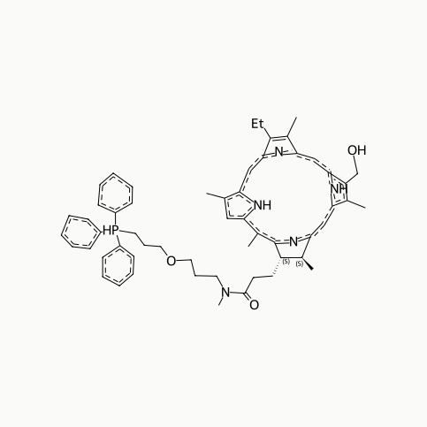 CCC1=C(C)c2cc3[nH]c(cc4nc(c(C)c5cc(C)c(cc1n2)[nH]5)[C@@H](CCC(=O)N(C)CCCOCCC[PH](c1ccccc1)(c1ccccc1)c1ccccc1)[C@@H]4C)c(C)c3CO